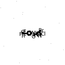 O=C(Nc1ccc(C(F)(F)C(F)(F)Cl)cc1)c1cnc(Cl)c(Br)c1